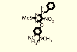 CSc1nc(NCc2ccccc2)c([N+](=O)[O-])c(Oc2ccc(C#N)c(N(C)C)c2)n1